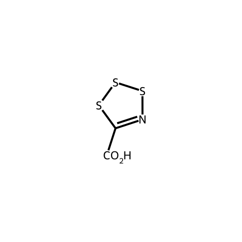 O=C(O)C1=NSSS1